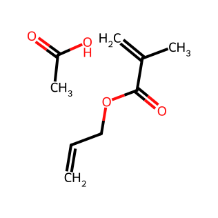 C=CCOC(=O)C(=C)C.CC(=O)O